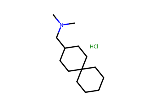 CN(C)CC1CCC2(CCCCC2)CC1.Cl